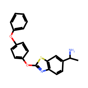 CC(N)c1ccc2nc(Oc3ccc(Oc4ccccc4)cc3)sc2c1